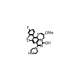 CO[C@H]1CSc2c(-c3ccc(F)cc3F)c(Cl)cc3c2N(C1)C(O)N=C3N1CCNCC1